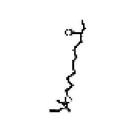 CCC(Cl)CCCCCCCCO[Si](C)(C)CC